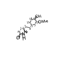 COc1cc(/C=C/c2ccc(=O)[nH]n2)ccc1O